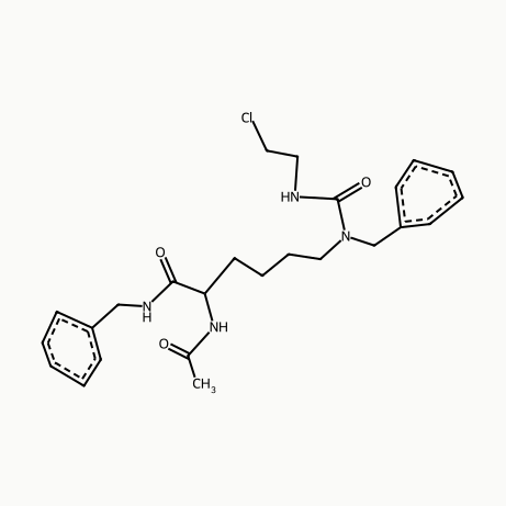 CC(=O)NC(CCCCN(Cc1ccccc1)C(=O)NCCCl)C(=O)NCc1ccccc1